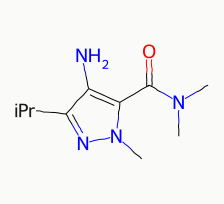 CC(C)c1nn(C)c(C(=O)N(C)C)c1N